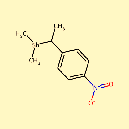 C[CH](c1ccc([N+](=O)[O-])cc1)[Sb]([CH3])[CH3]